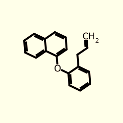 C=CCc1ccccc1Oc1cccc2ccccc12